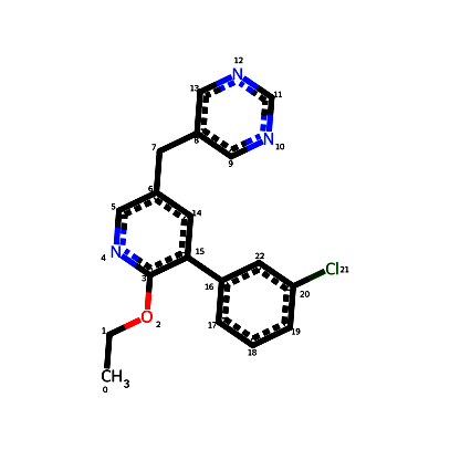 CCOc1ncc(Cc2cncnc2)cc1-c1cccc(Cl)c1